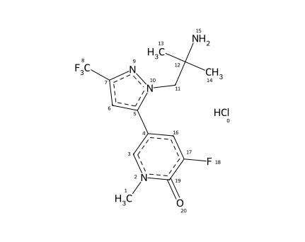 Cl.Cn1cc(-c2cc(C(F)(F)F)nn2CC(C)(C)N)cc(F)c1=O